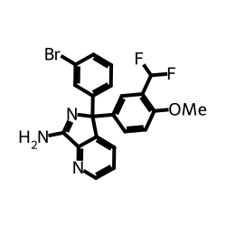 COc1ccc(C2(c3cccc(Br)c3)N=C(N)c3ncccc32)cc1C(F)F